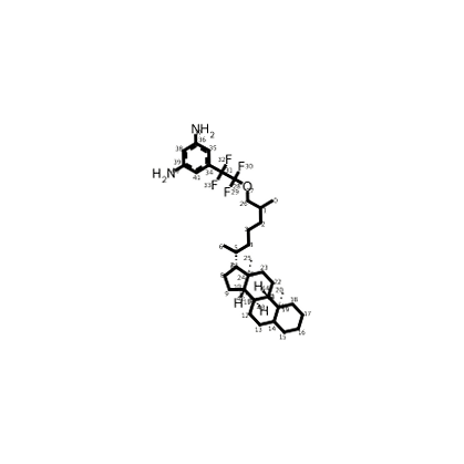 CC(CCCC(C)[C@H]1CC[C@H]2[C@@H]3CCC4CCCC[C@]4(C)[C@H]3CC[C@]12C)COC(F)(F)C(F)(F)c1cc(N)cc(N)c1